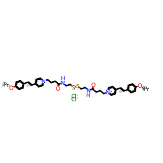 CC(C)Oc1ccc(/C=C/c2cc[n+](CCCC(=O)NCCSSCCNC(=O)CCC[n+]3ccc(/C=C/c4ccc(OC(C)C)cc4)cc3)cc2)cc1.[Cl-].[Cl-]